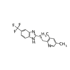 Cc1cnc(CSc2nc3cc(C(F)(F)F)ccc3[nH]2)c(C)c1